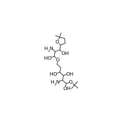 CC(C)(C)OC(O)C(N)C(O)C(O)CCOC(O)C(N)C(O)C1CCC(C)(C)O1